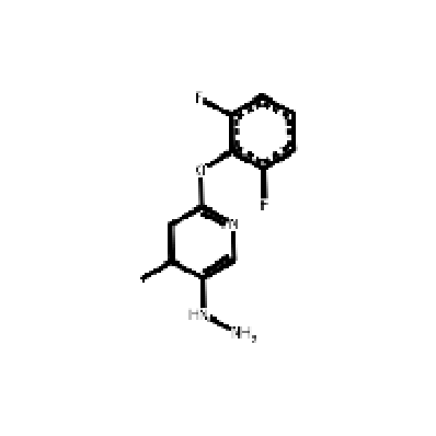 CC1CC(Oc2c(F)cccc2F)=NC=C1NN